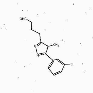 Cn1c(CCCC=O)nnc1-c1cccc(Cl)c1